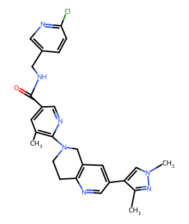 Cc1cc(C(=O)NCc2ccc(Cl)nc2)cnc1N1CCc2ncc(-c3cn(C)nc3C)cc2C1